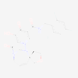 C[C@H]1C=C[C@]2(CCOC2)N2CN1C(=O)c1c(O)c(=O)c(C(=O)NCc3c(F)cc(F)cc3F)cn12